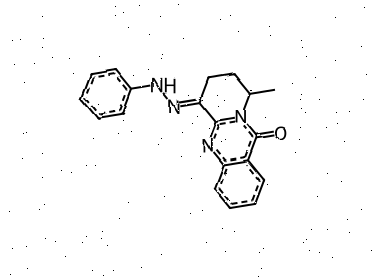 CC1CCC(=NNc2ccccc2)c2nc3ccccc3c(=O)n21